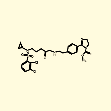 CC(C)(C)OC(=O)N1CCN=C1c1ccc(CCNCC(=O)CCCN(C2CC2)S(=O)(=O)c2cccc(Cl)c2Cl)cc1